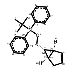 CC(C)(C)[Si](OC[C@@H]1[C@H]2C=CC[C@H]21)(c1ccccc1)c1ccccc1